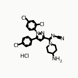 Cl.N#CN=C(c1cc(-c2ccc(Cl)cc2)n(-c2ccc(Cl)cc2Cl)n1)N1CCC(N)CC1